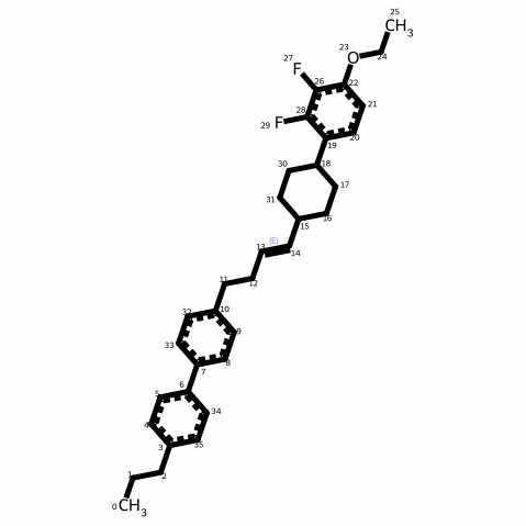 CCCc1ccc(-c2ccc(CC/C=C/C3CCC(c4ccc(OCC)c(F)c4F)CC3)cc2)cc1